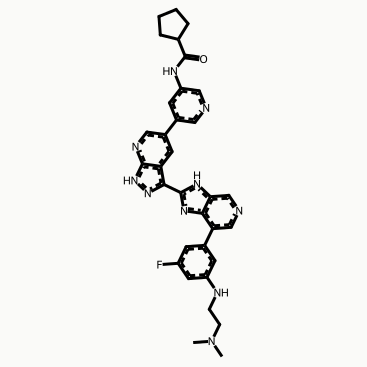 CN(C)CCNc1cc(F)cc(-c2cncc3[nH]c(-c4n[nH]c5ncc(-c6cncc(NC(=O)C7CCCC7)c6)cc45)nc23)c1